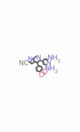 N#CC1=CC2=C(c3ccc4c(c3)OCO4)C(c3cc(N)nc(N)c3)=NCC2=N1